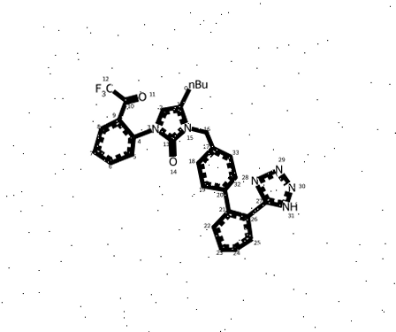 CCCCc1cn(-c2ccccc2C(=O)C(F)(F)F)c(=O)n1Cc1ccc(-c2ccccc2-c2nnn[nH]2)cc1